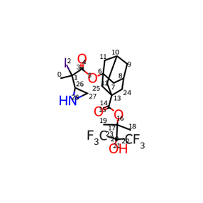 CC(I)(C(=O)OC12CC3CC(C1)CC(C(=O)OC(C)(C)C(O)(C(F)(F)F)C(F)(F)F)(C3)C2)C1CN1